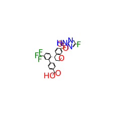 O=C(O)c1ccc(-c2cc(C(F)(F)F)ccc2[C@H]2CCOc3cc(S(=O)(=O)Nc4ncc(F)cn4)ccc32)cc1